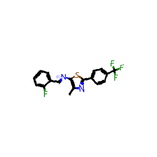 Cc1nc(-c2ccc(C(F)(F)F)cc2)sc1/N=C/c1ccccc1F